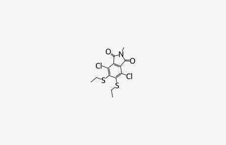 CCSc1c(Cl)c2c(c(Cl)c1SCC)C(=O)N(C)C2=O